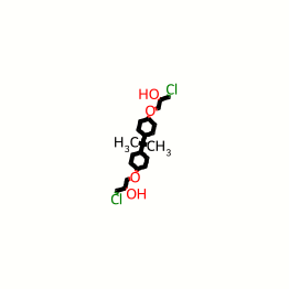 CC(C)(C1CCC(OCC(O)CCl)CC1)C1CCC(OCC(O)CCl)CC1